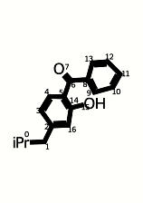 CC(C)Cc1ccc(C(=O)c2ccccc2)c(O)c1